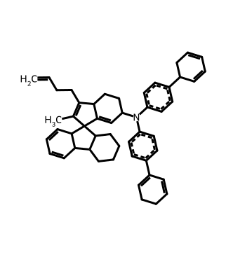 C=CCCC1=C(C)C2(C3=CC(N(c4ccc(C5=CCCC=C5)cc4)c4ccc(C5C=CC=CC5)cc4)CCC31)C1C=CC=CC1C1CCCCC12